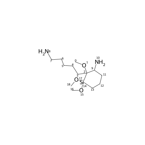 COC1(CCCCCN)C(N)CCC[Si]1(OC)OC